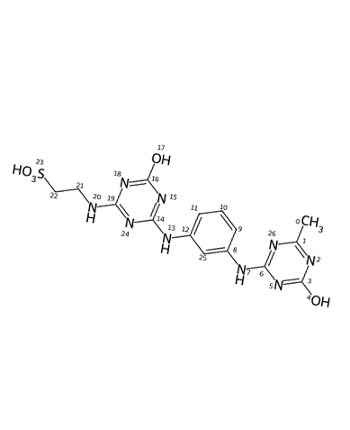 Cc1nc(O)nc(Nc2cccc(Nc3nc(O)nc(NCCS(=O)(=O)O)n3)c2)n1